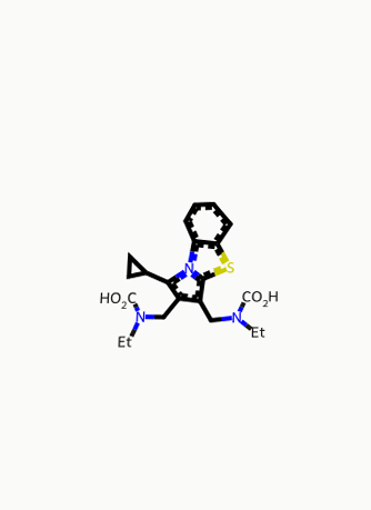 CCN(Cc1c(CN(CC)C(=O)O)c2sc3ccccc3n2c1C1CC1)C(=O)O